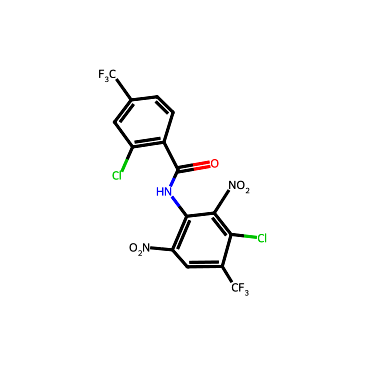 O=C(Nc1c([N+](=O)[O-])cc(C(F)(F)F)c(Cl)c1[N+](=O)[O-])c1ccc(C(F)(F)F)cc1Cl